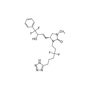 CN1C[C@H](C=CC(O)C(F)(F)c2ccccc2)N(CCC(F)(F)CCCc2nnn[nH]2)C1=O